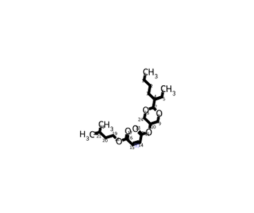 CCCCC(CC)C1OCC(OC(=O)/C=C\C(=O)OCCC(C)C)CO1